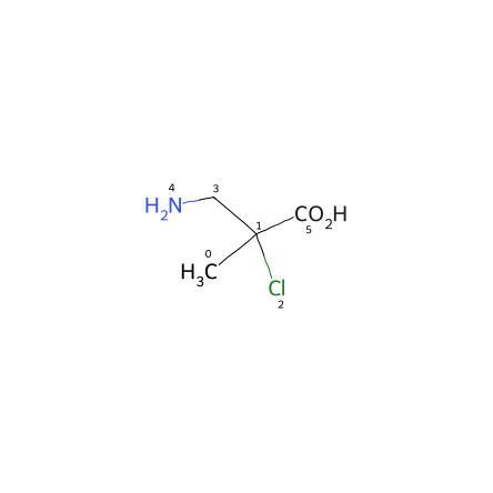 CC(Cl)(CN)C(=O)O